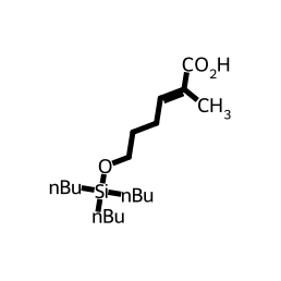 CCCC[Si](CCCC)(CCCC)OCCCC=C(C)C(=O)O